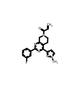 C=CC(=O)N1CCc2c(nc(-c3cccc(F)c3)nc2-c2ccn(C)n2)C1